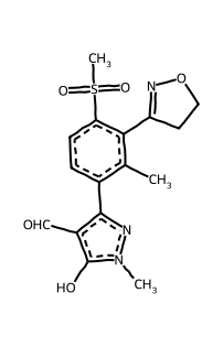 Cc1c(-c2nn(C)c(O)c2C=O)ccc(S(C)(=O)=O)c1C1=NOCC1